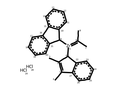 CC1=C(C)[CH]([Zr](=[C](C)C)[CH]2c3ccccc3-c3ccccc32)c2ccccc21.Cl.Cl